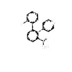 NC(=O)c1cccc(-c2ccccc2F)c1-c1ccncc1